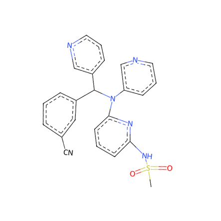 CS(=O)(=O)Nc1cccc(N(c2cccnc2)C(c2cccnc2)c2cccc(C#N)c2)n1